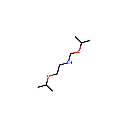 CC(C)OCCNCOC(C)C